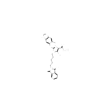 NC(=O)c1nc(Sc2cc3c(cc2I)OCO3)n(CCCCCN2C(=O)c3ccccc3C2=O)c1N